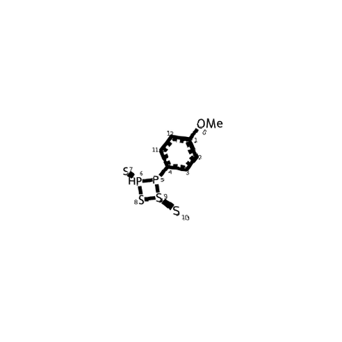 COc1ccc(P2[PH](=S)SS2=S)cc1